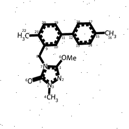 COc1nn(C)c(=O)n1Cc1cc(-c2ccc(C)cc2)ccc1C